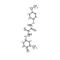 O=C(NCc1ccc(OC(F)(F)F)cc1)C(=O)NCc1ccc(Cl)c(C(F)(F)F)c1